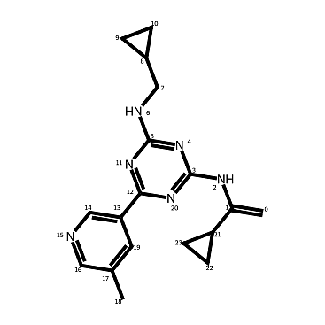 C=C(Nc1nc(NCC2CC2)nc(-c2cncc(C)c2)n1)C1CC1